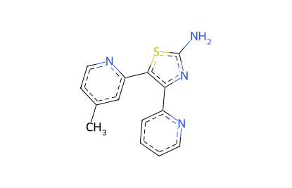 Cc1ccnc(-c2sc(N)nc2-c2ccccn2)c1